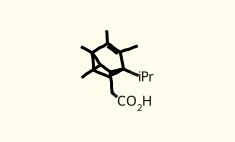 CC1=C(C)C2(C(C)C)CCC1(C)C(C)C2CC(=O)O